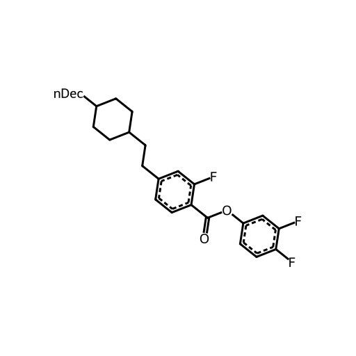 CCCCCCCCCCC1CCC(CCc2ccc(C(=O)Oc3ccc(F)c(F)c3)c(F)c2)CC1